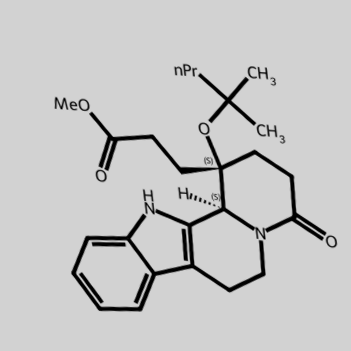 CCCC(C)(C)O[C@]1(CCC(=O)OC)CCC(=O)N2CCc3c([nH]c4ccccc34)[C@H]21